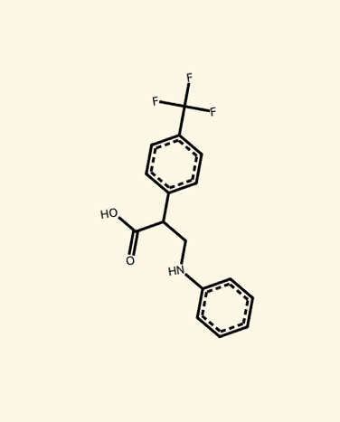 O=C(O)C(CNc1ccccc1)c1ccc(C(F)(F)F)cc1